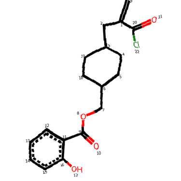 C=C(CC1CCC(COC(=O)c2ccccc2O)CC1)C(=O)Cl